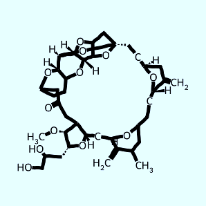 C=C1C[C@@H]2CC[C@@]34CC5O[C@H]6[C@@H](O3)[C@H]3OC(CCC3O[C@H]6C5O4)CC(=O)CC3[C@H](C[C@H]4OC(CC[C@@H]1O2)CC(C)C4=C)O[C@H](CC(O)CO)[C@@H]3OC